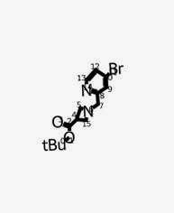 CC(C)(C)OC(=O)C1CN(Cc2cc(Br)ccn2)C1